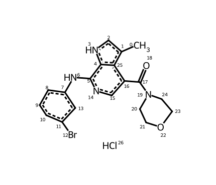 Cc1c[nH]c2c(Nc3cccc(Br)c3)ncc(C(=O)N3CCOCC3)c12.Cl